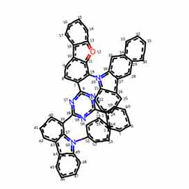 c1ccc(-c2nc(-c3ccc4c(oc5ccccc54)c3-n3c4ccccc4c4cc5ccccc5cc43)nc(-c3cccc4c5ccccc5n(-c5ccccc5)c34)n2)cc1